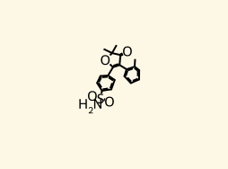 Cc1ccccc1C1=C(c2ccc(S(N)(=O)=O)cc2)OC(C)(C)C1=O